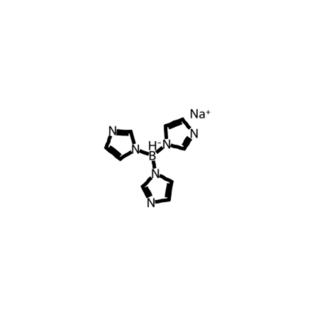 [Na+].c1cn([BH-](n2ccnc2)n2ccnc2)cn1